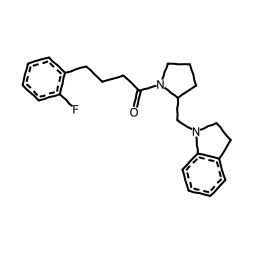 O=C(CCCc1ccccc1F)N1CCCC1CN1CCc2ccccc21